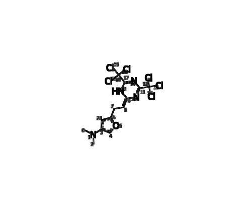 CN(C)c1coc(CC=C2N=C(C(Cl)(Cl)Cl)N=C(C(Cl)(Cl)Cl)N2)c1